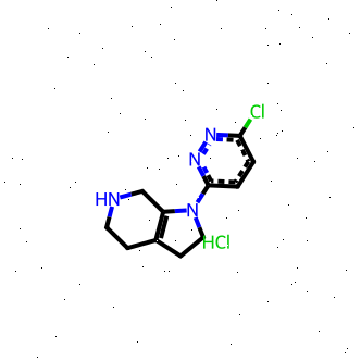 Cl.Clc1ccc(N2CCC3=C2CNCC3)nn1